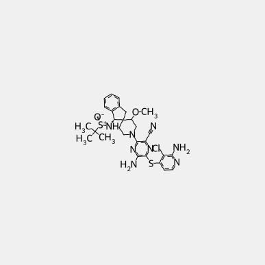 COC1CN(c2nc(N)c(Sc3ccnc(N)c3Cl)nc2C#N)CCC12Cc1ccccc1[C@@H]2N[S@+]([O-])C(C)(C)C